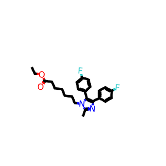 CCOC(=O)CCCCCCn1c(C)nc(-c2ccc(F)cc2)c1-c1ccc(F)cc1